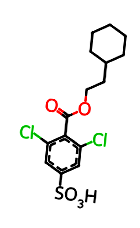 O=C(OCCC1CCCCC1)c1c(Cl)cc(S(=O)(=O)O)cc1Cl